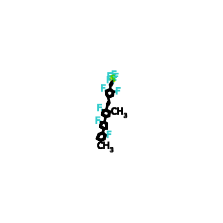 Cc1ccc(-c2ccc(-c3cc(C)c(C#Cc4cc(F)c(C#CS(F)(F)(F)(F)F)c(F)c4)c(F)c3)c(F)c2)c(F)c1